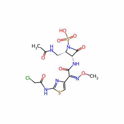 CO/N=C(\C(=O)N[C@H]1C(=O)N(S(=O)(=O)O)[C@H]1CNC(C)=O)c1csc(NC(=O)CCl)n1